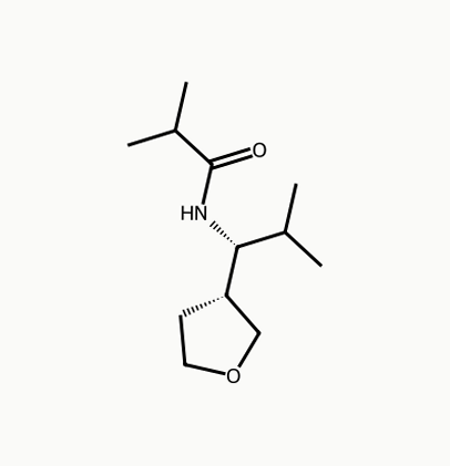 CC(C)C(=O)N[C@H](C(C)C)[C@H]1CCOC1